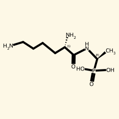 C[C@H](NC(=O)[C@@H](N)CCCCN)P(=O)(O)O